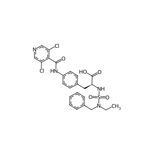 CCN(Cc1ccccc1)S(=O)(=O)N[C@@H](Cc1ccc(NC(=O)c2c(Cl)cncc2Cl)cc1)C(=O)O